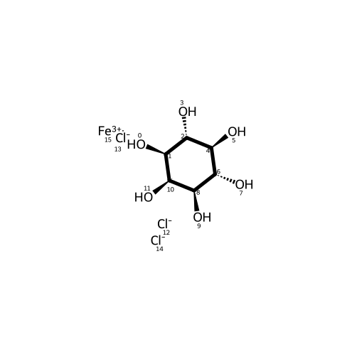 O[C@H]1[C@H](O)[C@@H](O)[C@H](O)[C@@H](O)[C@H]1O.[Cl-].[Cl-].[Cl-].[Fe+3]